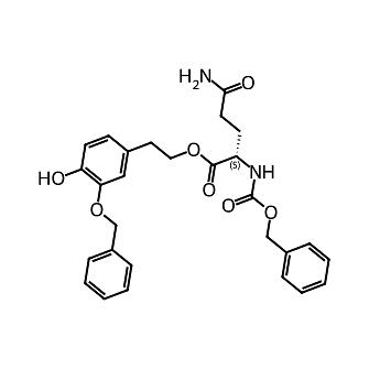 NC(=O)CC[C@H](NC(=O)OCc1ccccc1)C(=O)OCCc1ccc(O)c(OCc2ccccc2)c1